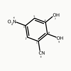 N#Cc1cc([N+](=O)[O-])cc(O)c1O